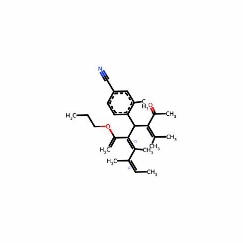 C=C(OCCC)/C(=C(C)\C(C)=C/C)C(C(C(C)=O)=C(C)C)c1ccc(C#N)cc1C